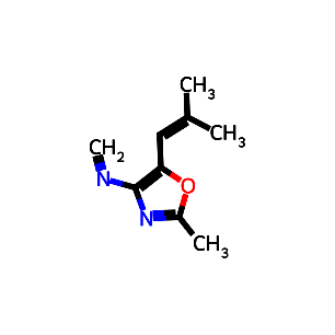 C=Nc1nc(C)oc1C=C(C)C